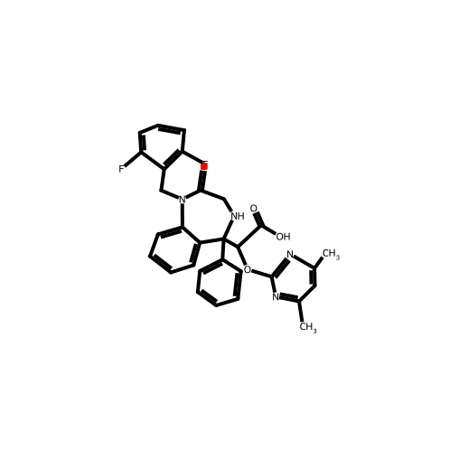 Cc1cc(C)nc(OC(C(=O)O)C2(c3ccccc3)NCC(=O)N(Cc3c(F)cccc3F)c3ccccc32)n1